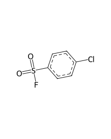 O=S(=O)(F)c1ccc(Cl)cc1